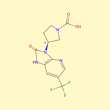 O=C(O)N1CC[C@H](n2c(=O)[nH]c3cc(C(F)(F)F)cnc32)C1